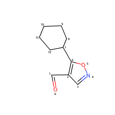 O=Cc1cnoc1C1CCCCC1